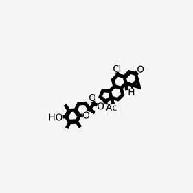 CC(=O)[C@@]1(OC(=O)C2(C)CCc3c(C)c(O)c(C)c(C)c3O2)CCC2C3CC(Cl)C4=CC(=O)C5C[C@@H]5C4(C)C3CCC21C